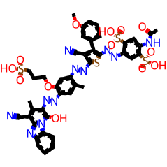 COc1cccc(-c2c(N=Nc3cc(S(=O)(=O)O)c(NC(C)=O)cc3S(=O)(=O)O)sc(N=Nc3cc(OCCCS(=O)(=O)O)c(N=Nc4c(C)c(C#N)c5nc6ccccc6n5c4O)cc3C)c2C#N)c1